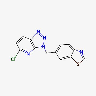 Clc1ccc2nnn(Cc3ccc4ncsc4c3)c2n1